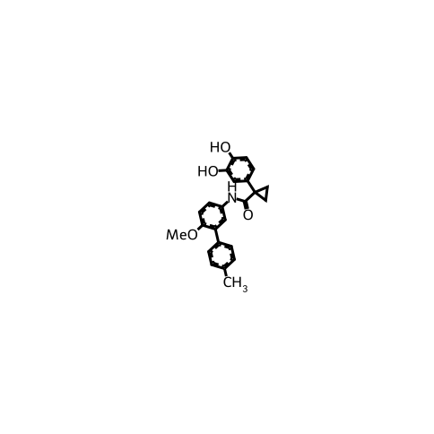 COc1ccc(NC(=O)C2(c3ccc(O)c(O)c3)CC2)cc1-c1ccc(C)cc1